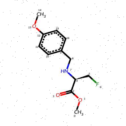 COC(=O)[C@H](CF)NCc1ccc(OC)cc1